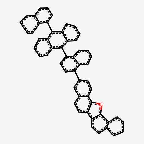 c1ccc2c(-c3c4ccccc4c(-c4ccc(-c5ccc6c(ccc7c8ccc9ccccc9c8oc67)c5)c5ccccc45)c4ccccc34)cccc2c1